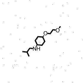 COCCO[C@H]1CC[C@@H](NCC(C)C)CC1